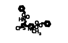 Cc1nc(-c2sc(Cl)cc2CNC(=O)OCc2ccccc2)ccc1OC(=O)OCc1ccccc1